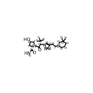 CNC(=O)[C@@H]1C[C@@H](O)CN1C(=O)[C@@H](n1cc(CCN2CCCC(C)(C)C2)nn1)C(C)(C)C